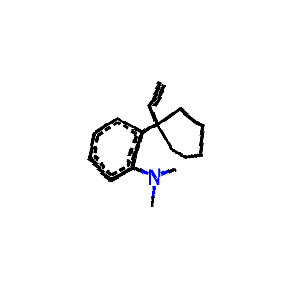 C=CC1(c2ccccc2N(C)C)CCCC1